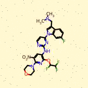 CN(C)Cc1cn(-c2ccnc(Nc3cc([N+](=O)[O-])c(N4CCOCC4)nc3OC(F)C(F)F)n2)c2cc(F)ccc12